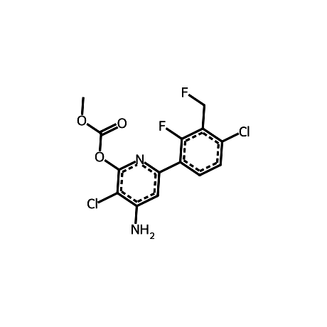 COC(=O)Oc1nc(-c2ccc(Cl)c(CF)c2F)cc(N)c1Cl